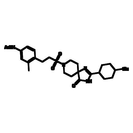 CC(=O)Nc1ccc(CCS(=O)(=O)N2CCC3(CC2)N=C(C2CCC(C(C)(C)C)CC2)NC3=O)c(C)c1